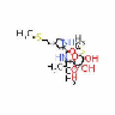 CCSCCC[C@@H]1CCN[C@H](C(=O)N[C@H](C(C)C)[C@H]2OC(SC)C(O)[C@@H](O)[C@H]2O)C1